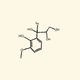 [2H]C(O)(c1cccc(OC)c1O)C(O)CO